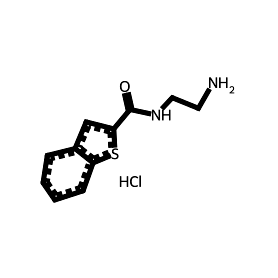 Cl.NCCNC(=O)c1cc2ccccc2s1